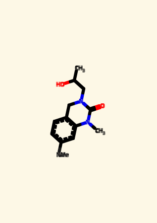 CNc1ccc2c(c1)N(C)C(=O)N(CC(C)O)C2